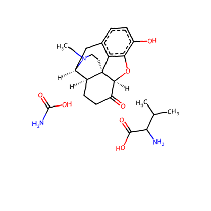 CC(C)C(N)C(=O)O.CN1CC[C@]23c4c5ccc(O)c4O[C@H]2C(=O)CC[C@H]3[C@H]1C5.NC(=O)O